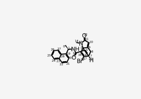 C[C@@H](NC(=O)C1=C[C@@H]2CC3=CC(=O)N(C)C31C=C2Br)c1cccc2ccccc12